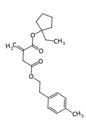 C=C(CC(=O)OCCc1ccc(C)cc1)C(=O)OC1(CC)CCCC1